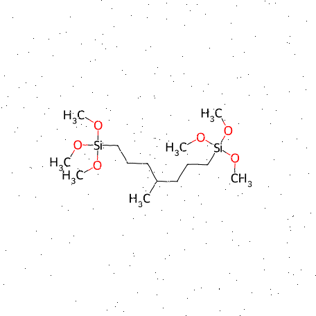 CO[Si](CCCC(C)CCC[Si](OC)(OC)OC)(OC)OC